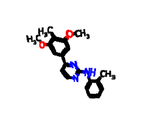 COc1cc(-c2ccnc(Nc3ccccc3C)n2)cc(OC)c1C